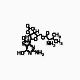 CC(C)[C@H](N)C(=O)OC[C@H]1O[C@@H](n2c(=O)sc3c(O)nc(N)nc32)[C@@H]2OC(=O)O[C@@H]21